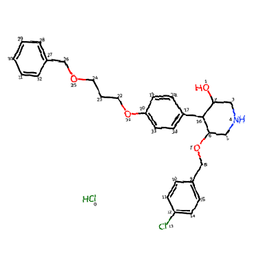 Cl.OC1CNCC(OCc2ccc(Cl)cc2)C1c1ccc(OCCCOCc2ccccc2)cc1